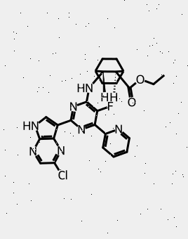 CCOC(=O)[C@@H]1C2CCC(CC2)[C@H]1Nc1nc(-c2c[nH]c3ncc(Cl)nc23)nc(-c2ccccn2)c1F